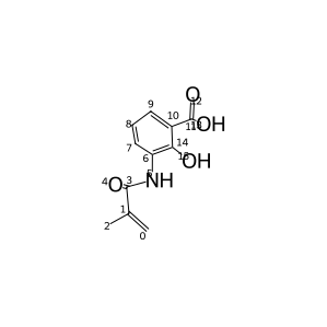 C=C(C)C(=O)Nc1cccc(C(=O)O)c1O